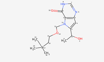 CC(O)c1cc2nc[nH]c(=O)c2n1COCC[Si](C)(C)C